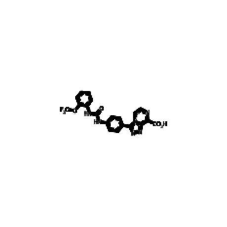 O=C(Nc1ccc(-c2nnc3c(C(=O)O)nccn23)cc1)Nc1ccccc1OC(F)(F)F